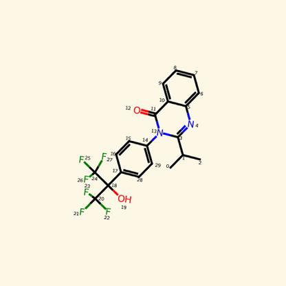 CC(C)c1nc2ccccc2c(=O)n1-c1ccc(C(O)(C(F)(F)F)C(F)(F)F)cc1